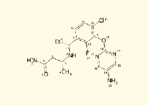 CC[C@@H](N[C@H](C)CC(N)=O)c1ccc(Cl)c(Oc2ncc(N)cn2)c1F